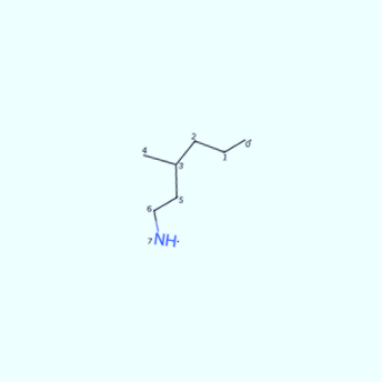 [CH2]CCC(C)CC[NH]